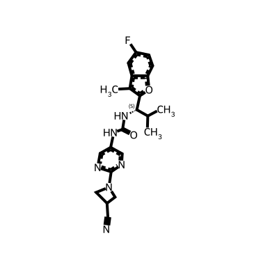 Cc1c([C@@H](NC(=O)Nc2cnc(N3CC(C#N)C3)nc2)C(C)C)oc2ccc(F)cc12